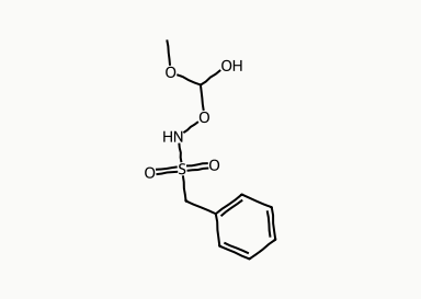 COC(O)ONS(=O)(=O)Cc1ccccc1